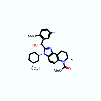 COC(=O)N1c2ccc3c(nc([C@H](O)c4cc(F)ccc4OC)n3[C@H]3CCC[C@@H](C(=O)O)C3)c2CC[C@@H]1C